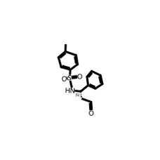 Cc1ccc(S(=O)(=O)N[C@@H](CC=O)c2ccccc2)cc1